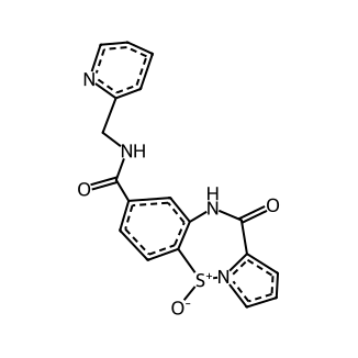 O=C(NCc1ccccn1)c1ccc2c(c1)NC(=O)c1cccn1[S+]2[O-]